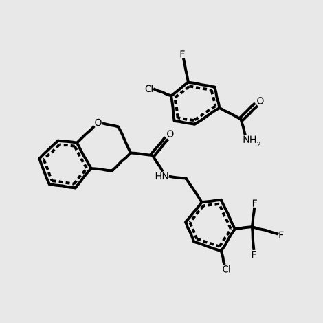 NC(=O)c1ccc(Cl)c(F)c1.O=C(NCc1ccc(Cl)c(C(F)(F)F)c1)C1COc2ccccc2C1